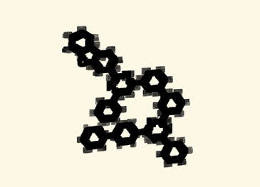 c1ccc(-c2ccc(-c3nc(-c4ccccc4)nc(-c4cccc(-c5cccc(-c6cc(-c7ccccc7)nc(-c7ccc8c(c7)oc7ccccc78)n6)c5)c4)n3)cc2)cc1